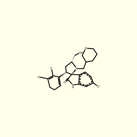 O=C1Nc2cc(Cl)ccc2[C@@]12[C@@H](C1=CCCC(Cl)=C1F)C[C@H](CO)N2CC1CCCOC1